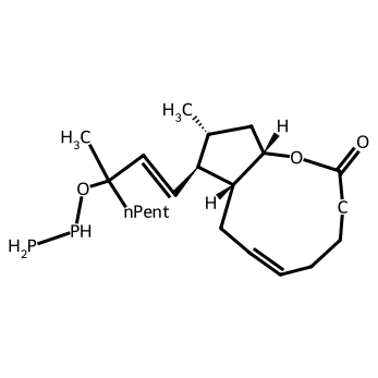 CCCCCC(C)(/C=C/[C@@H]1[C@H]2C/C=C\CCCC(=O)O[C@H]2C[C@H]1C)OPP